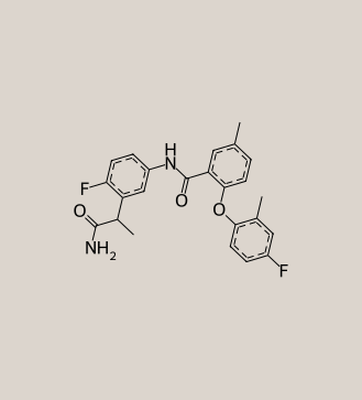 Cc1ccc(Oc2ccc(F)cc2C)c(C(=O)Nc2ccc(F)c(C(C)C(N)=O)c2)c1